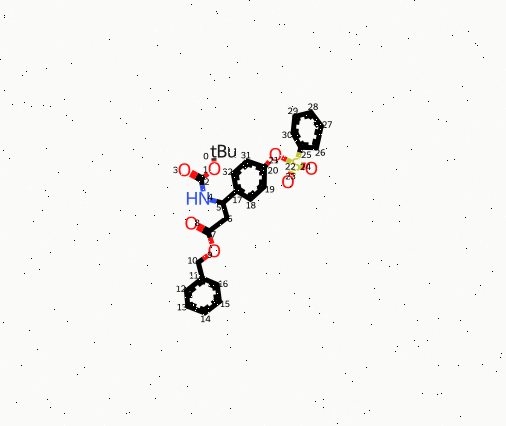 CC(C)(C)OC(=O)NC(CC(=O)OCc1ccccc1)c1ccc(OS(=O)(=O)c2ccccc2)cc1